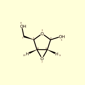 OC[C@H]1OC(O)[C@@H]2O[C@H]12